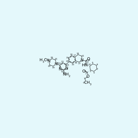 CCOC(=O)[C@H]1CCCC[C@H]1NC(=O)N1CCc2ccc(-c3cc(N4CCN(C)CC4)nc(N)n3)cc2C1